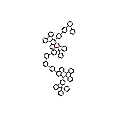 c1ccc(-c2ccccc2-c2ccc(-c3ccc(N(c4ccc5c(c4)-c4ccccc4C5(c4ccccc4)c4ccc(-c5cccc(-c6cccc(-c7ccc(-c8ccc(N(c9ccc%10c(c9)-c9ccccc9C%10(c9ccccc9)c9ccccc9)c9c(-c%10ccccc%10)c%10ccccc%10c%10ccccc9%10)cc8)cc7)c6)c5)cc4)c4c(-c5ccccc5)c5ccccc5c5ccccc45)cc3)cc2)cc1